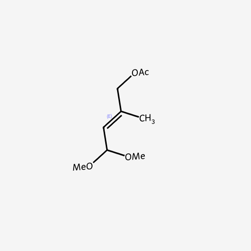 COC(/C=C(\C)COC(C)=O)OC